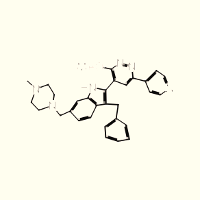 COc1nnc(-c2ccncc2)cc1-c1[nH]c2cc(CN3CCN(C)CC3)ccc2c1Cc1ccccc1